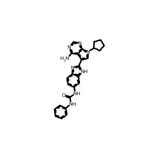 Nc1ncnc2c1c(-c1nc3ccc(NC(=O)Nc4ccccc4)cc3[nH]1)cn2C1CCCC1